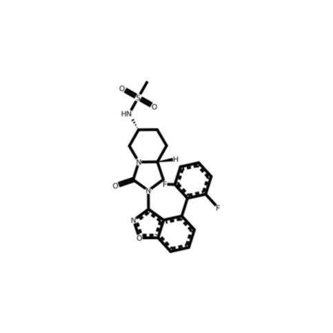 CS(=O)(=O)N[C@@H]1CC[C@@H]2CN(c3noc4cccc(-c5c(F)cccc5F)c34)C(=O)N2C1